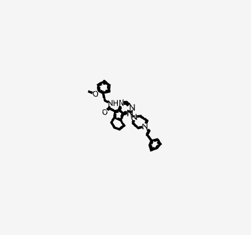 COc1ccccc1CNC(=O)c1c2ncnn(N3CCN(CCc4ccccc4)CC3)c-2c2c1CCCC2